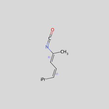 C/C(=C\C=C/C(C)C)N=C=O